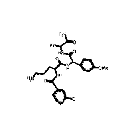 COc1ccc(C(NC(=O)C(CCCN)NC(=O)c2cccc(Cl)c2)C(=O)NC(C(=O)C(F)(F)F)C(C)C)cc1